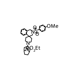 CCOC(=O)N1C2CCC1CC(N1CCC3(CC1)CN(S(=O)(=O)c1ccc(OC)cc1)Cc1ccccc13)C2